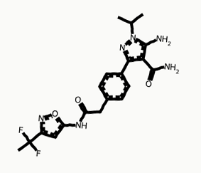 CC(C)n1nc(-c2ccc(CC(=O)Nc3cc(C(C)(F)F)no3)cc2)c(C(N)=O)c1N